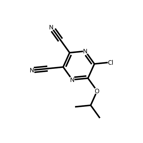 CC(C)Oc1nc(C#N)c(C#N)nc1Cl